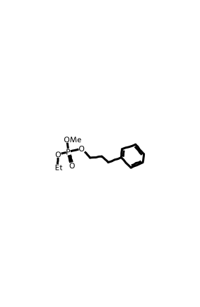 CCOP(=O)(OC)OCCCc1ccccc1